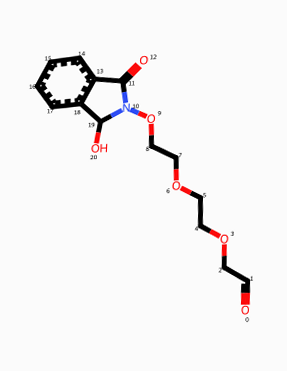 O=CCOCCOCCON1C(=O)c2ccccc2C1O